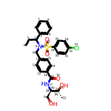 CCC(c1ccccc1)N(Cc1ccc(C(=O)N[C@H](CO)[C@@H](C)O)cc1)S(=O)(=O)c1ccc(Cl)cc1